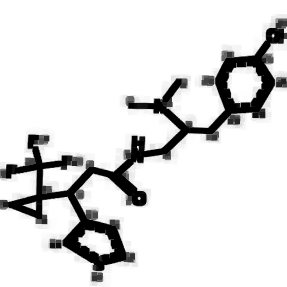 CN(C)C(CNC(=O)CC(c1ccsc1)C1(C(F)(F)F)CC1)Cc1ccc(O)cc1